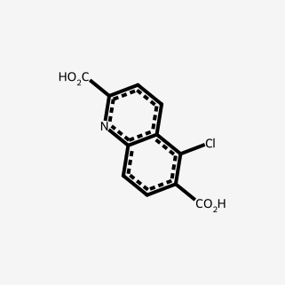 O=C(O)c1ccc2c(Cl)c(C(=O)O)ccc2n1